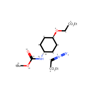 CCOC(=O)C=[N+]=[N-].CCOC(=O)CO[C@H]1CC[C@H](NC(=O)OC(C)(C)C)CC1